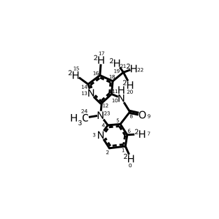 [2H]c1cnc2c(c1[2H])C(=O)Nc1c(nc([2H])c([2H])c1C([2H])([2H])[2H])N2C